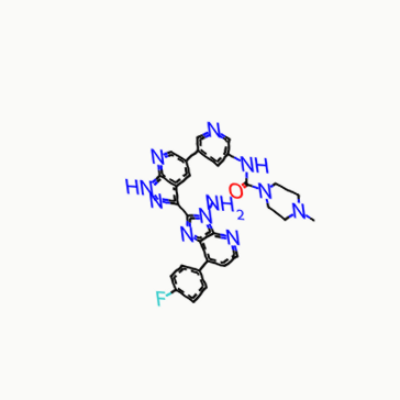 CN1CCN(C(=O)Nc2cncc(-c3cnc4[nH]nc(-c5nc6c(-c7ccc(F)cc7)ccnc6n5N)c4c3)c2)CC1